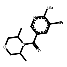 CC(C)c1cc(C(=O)N2C(C)COCC2C)cnc1C(C)(C)C